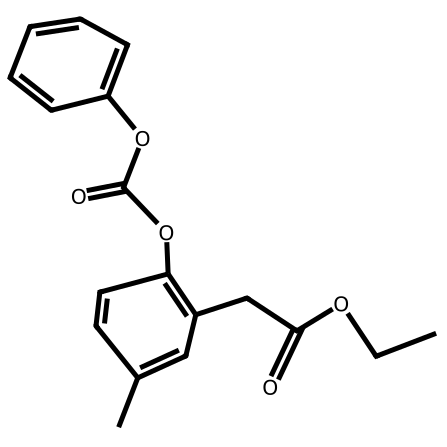 CCOC(=O)Cc1cc(C)ccc1OC(=O)Oc1ccccc1